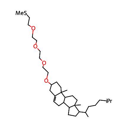 CSCCOCCOCCOCCOC1CCC2(C)C(=CCC3C2CCC2(C)C(C(C)CCCC(C)C)CCC32)C1